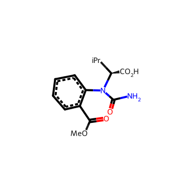 COC(=O)c1ccccc1N(C(N)=O)[C@H](C(=O)O)C(C)C